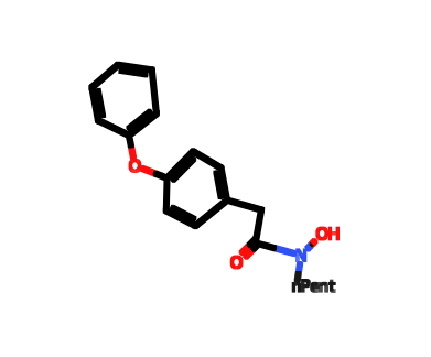 CCCCCN(O)C(=O)Cc1ccc(Oc2ccccc2)cc1